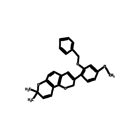 COc1ccc(C2=Cc3ccc4c(c3OC2)C=CC(C)(C)O4)c(OCc2ccccc2)c1